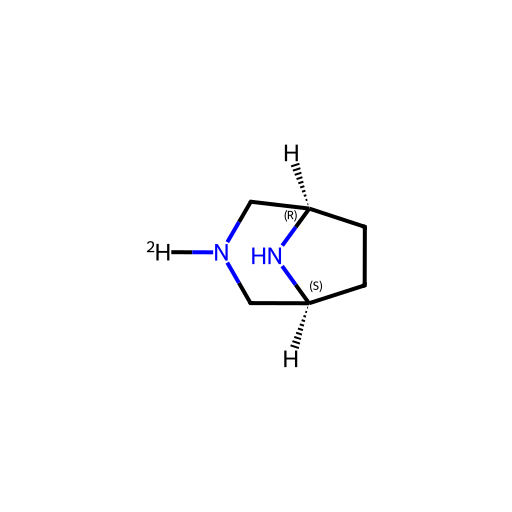 [2H]N1C[C@H]2CC[C@@H](C1)N2